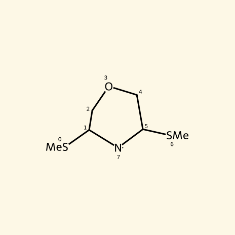 CSC1COCC(SC)[N]1